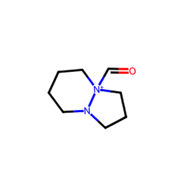 O=C[N+]12CCCCN1CCC2